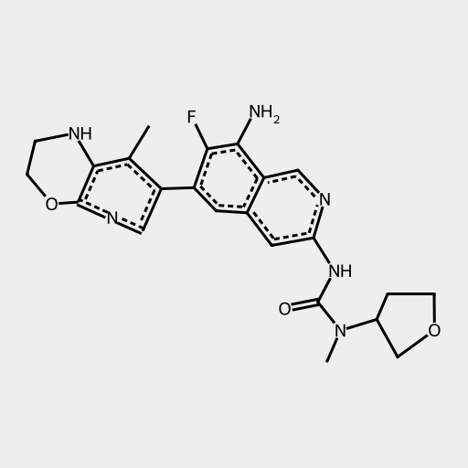 Cc1c(-c2cc3cc(NC(=O)N(C)C4CCOC4)ncc3c(N)c2F)cnc2c1NCCO2